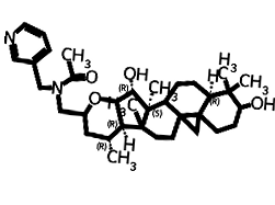 CC(=O)N(Cc1cccnc1)CC1C[C@@H](C)[C@H]2C(O1)[C@H](O)[C@@]1(C)C3CC[C@H]4C(C)(C)C(O)CCC45CC35CCC21C